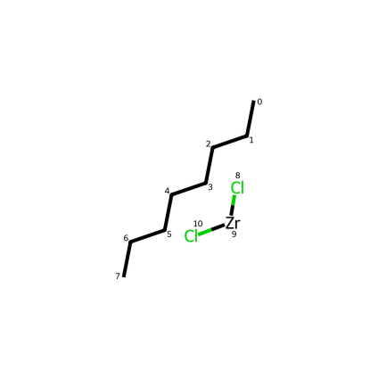 CCCCCCCC.[Cl][Zr][Cl]